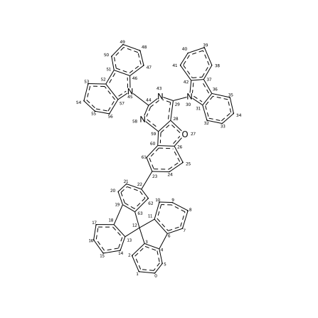 c1ccc2c(c1)-c1ccccc1C21c2ccccc2-c2ccc(-c3ccc4oc5c(-n6c7ccccc7c7ccccc76)nc(-n6c7ccccc7c7ccccc76)nc5c4c3)cc21